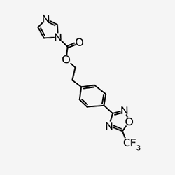 O=C(OCCc1ccc(-c2noc(C(F)(F)F)n2)cc1)n1ccnc1